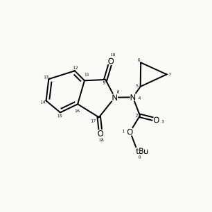 CC(C)(C)OC(=O)N(C1CC1)N1C(=O)c2ccccc2C1=O